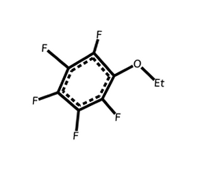 CCOc1c(F)c(F)c(F)c(F)c1F